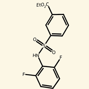 CCOC(=O)c1cccc(S(=O)(=O)Nc2c(F)cccc2F)c1